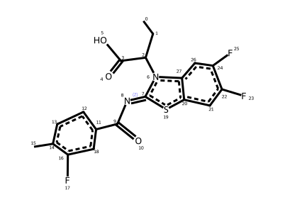 CCC(C(=O)O)n1/c(=N/C(=O)c2ccc(C)c(F)c2)sc2cc(F)c(F)cc21